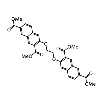 COC(=O)c1ccc2cc(OCCOc3cc4ccc(C(=O)OC)cc4cc3C(=O)OC)c(C(=O)OC)cc2c1